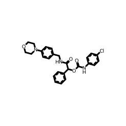 O=C(Nc1ccc(Cl)cc1)OC(C(=O)NCc1ccc(N2CCOCC2)cc1)c1ccccc1